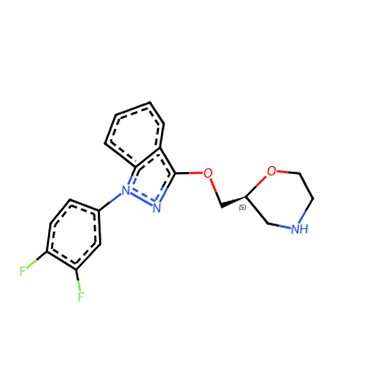 Fc1ccc(-n2nc(OC[C@@H]3CNCCO3)c3ccccc32)cc1F